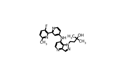 Cc1ccc(F)c(-c2cc(Nc3ccnc4cnn(CCC(C)(C)O)c34)ccn2)n1